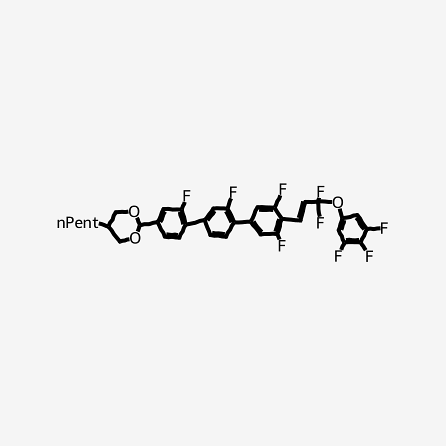 CCCCCC1COC(c2ccc(-c3ccc(-c4cc(F)c(/C=C/C(F)(F)Oc5cc(F)c(F)c(F)c5)c(F)c4)c(F)c3)c(F)c2)OC1